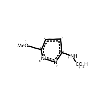 COc1ccc(NC(=O)O)nn1